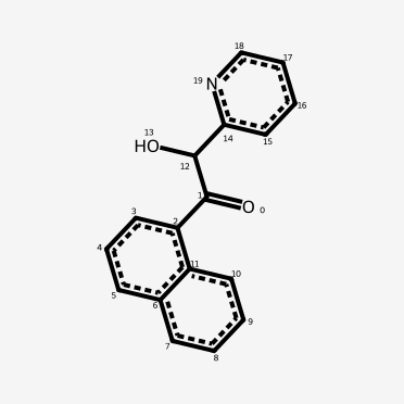 O=C(c1cccc2ccccc12)C(O)c1ccccn1